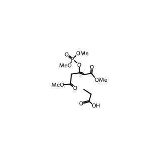 CCC(=O)O.COC(=O)/C=C(/CC(=O)OC)OP(=O)(OC)OC